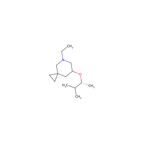 CCN1CC(O[C@H](C)C(C)C)CC2(CC2)C1